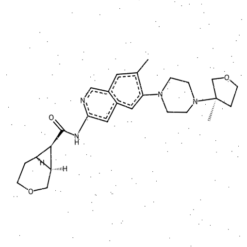 Cc1cc2cnc(NC(=O)[C@@H]3[C@@H]4CCOC[C@@H]43)cc2cc1N1CCN([C@]2(C)CCOC2)CC1